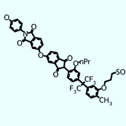 CCCOc1cc(C(c2ccc(C)c(OCCCS(=O)(=O)O)c2)(C(F)(F)F)C(F)(F)F)ccc1C1C(=O)c2ccc(Oc3ccc4c(c3)C(=O)N(c3ccc(O)cc3)C4=O)cc2C1=O